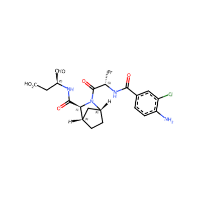 CC(C)[C@H](NC(=O)c1ccc(N)c(Cl)c1)C(=O)N1[C@@H]2CC[C@@H](C2)[C@H]1C(=O)N[C@H](C=O)CC(=O)O